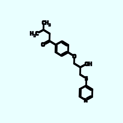 CC(C)CC(=O)c1ccc(OCC(O)CSc2ccncc2)cc1